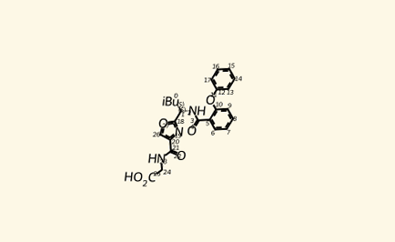 CC[C@H](C)[C@H](NC(=O)c1ccccc1Oc1ccccc1)c1nc(C(=O)NCC(=O)O)co1